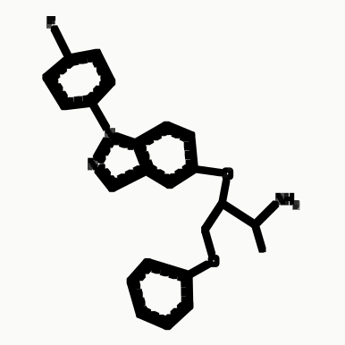 CC(N)C(COc1ccccc1)Oc1ccc2c(cnn2-c2ccc(F)cc2)c1